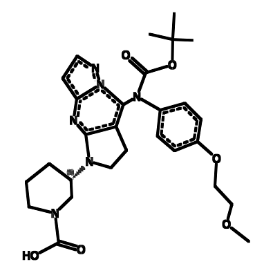 COCCOc1ccc(N(C(=O)OC(C)(C)C)c2c3c(nc4ccnn24)N([C@H]2CCCN(C(=O)O)C2)CC3)cc1